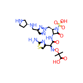 CC(C)(O/N=C(\C(=O)N[C@@H]1C(=O)N(S(=O)(=O)O)[C@@H]1Cn1ncc(CN[C@@H]2CCNC2)n1)c1csc(N)n1)C(=O)O